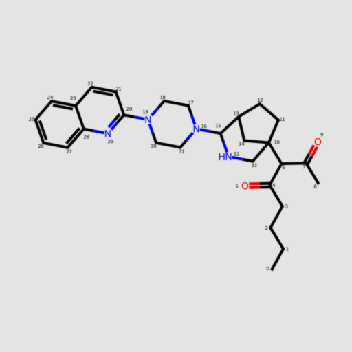 CCCCC(=O)C(C(C)=O)C12CCC(C1)C(N1CCN(c3ccc4ccccc4n3)CC1)NC2